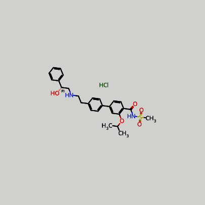 CC(C)Oc1cc(-c2ccc(CCNC[C@H](O)c3ccccc3)cc2)ccc1C(=O)NS(C)(=O)=O.Cl